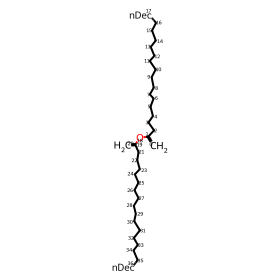 C=C(CCCCCCCCCCCCCCCCCCCCCCCCC)OC(=C)CCCCCCCCCCCCCCCCCCCCCCCCC